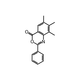 Cc1cc2c(=O)oc(-c3ccccc3)nc2c(C)c1C